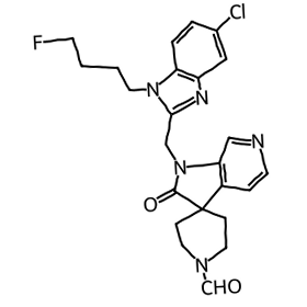 O=CN1CCC2(CC1)C(=O)N(Cc1nc3cc(Cl)ccc3n1CCCCF)c1cnccc12